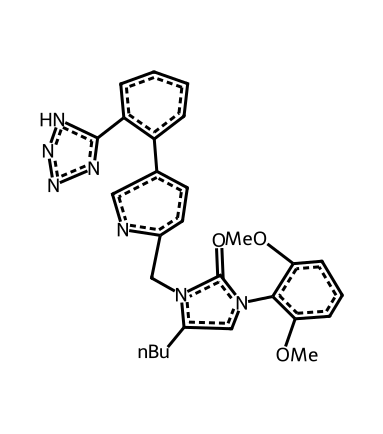 CCCCc1cn(-c2c(OC)cccc2OC)c(=O)n1Cc1ccc(-c2ccccc2-c2nnn[nH]2)cn1